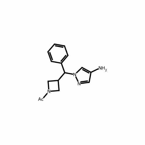 CC(=O)N1CC(C(c2ccccc2)n2cc(N)cn2)C1